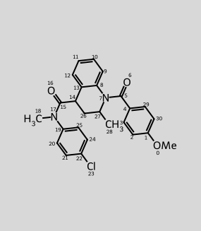 COc1ccc(C(=O)N2c3ccccc3C(C(=O)N(C)c3ccc(Cl)cc3)CC2C)cc1